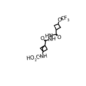 O=C(O)NC12CC(C(=O)NNC(=O)C3CC(OC(F)(F)F)C3)(C1)C2